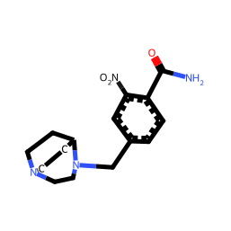 NC(=O)c1ccc(CN2CCN3CCC2CC3)cc1[N+](=O)[O-]